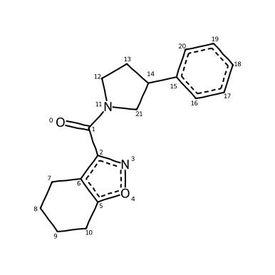 O=C(c1noc2c1CCCC2)N1CCC(c2ccccc2)C1